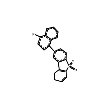 O=S1(=O)C2=C(CCC=C2)c2cc(-c3ccc(Br)c4ccccc34)ccc21